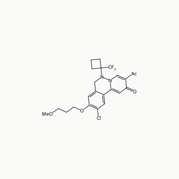 COCCCOc1cc2c(cc1Cl)-c1cc(=O)c(C(C)=O)cn1N(C1(C(F)(F)F)CCC1)C2